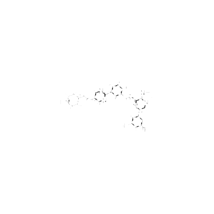 Nc1ncc(-c2cc(F)cc(F)c2)nc1NCc1cccc(-c2ncc(OCC3CCNCC3)cn2)c1